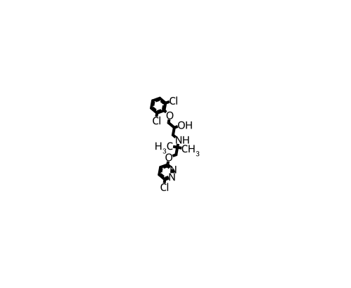 CC(C)(COc1ccc(Cl)nn1)NCC(O)COc1c(Cl)cccc1Cl